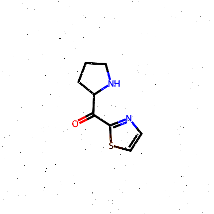 O=C(c1nccs1)C1CCCN1